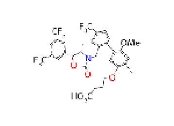 COc1cc(C)c(OCCCC(=O)O)cc1-c1ccc(C(F)(F)F)cc1CN1C(=O)O[C@H](c2cc(C(F)(F)F)cc(C(F)(F)F)c2)[C@@H]1C